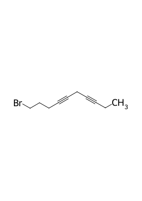 CCC#CCC#CCCCBr